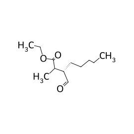 CCCCC[C@H](C=O)C(C)C(=O)OCC